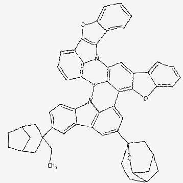 CCC1(c2ccc3c(c2)c2cc(C45CCC6CC(CC6C4)C5)cc4c2n3B2c3c(cc5c(oc6ccccc65)c3-4)-n3c4c2cccc4c2oc4ccccc4c23)CC2CCC(C2)C1